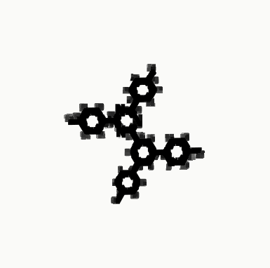 Cc1ccc(-c2cc(-c3ccc(C)cc3)cc(-c3nc(-c4ccc(C)cc4)nc(-c4ccc(C)cc4)n3)c2)cc1